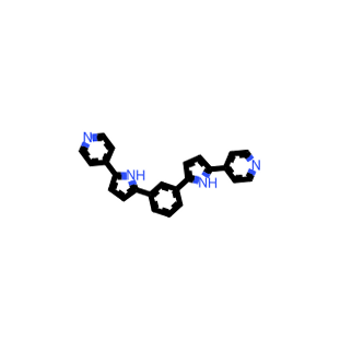 c1cc(-c2ccc(-c3ccncc3)[nH]2)cc(-c2ccc(-c3ccncc3)[nH]2)c1